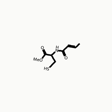 C/C=C/C(=O)NC(CS)C(=O)OC